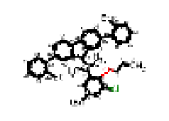 C=CCOc1c(Cl)cc(C(C)(C)C)cc1[Si](C)(C)C1c2cc(-c3ccccc3CC)ccc2-c2ccc(-c3ccccc3CC)cc21